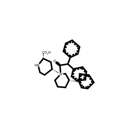 O=C(O)[C@@H]1C[C@H]([N+]2(C(=O)C(c3ccccc3)c3ccccc3)CCC[C@@H](c3ccccc3)C2)CCN1